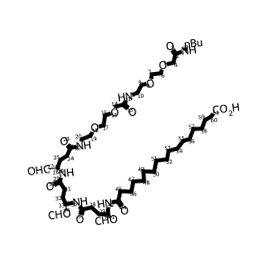 CCCCNC(=O)COCCOCCNC(=O)COCCOCCNC(=O)CC[C@@H](C=O)NC(=O)CC[C@@H](C=O)NC(=O)CC[C@@H](C=O)NC(=O)CCCCCCCCCCCCCCCCC(=O)O